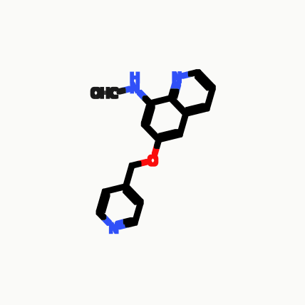 O=CNc1cc(OCc2ccncc2)cc2cccnc12